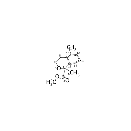 COC(=O)C1(C)OCCc2c(C)cccc21